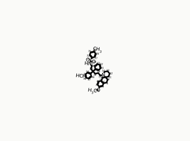 COc1ccc2c(c1)CCC1(CCCCN1CCCC(CCNS(=O)(=O)c1ccc(C)cc1)(c1ccccc1)c1ccccc1)C2.Cl